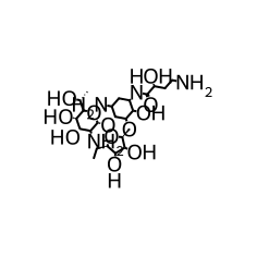 CC[C@H]1O[C@@H](OC2C(O)[C@H](NC(=O)[C@@H](O)CCN)CC(N)[C@H]2O[C@H]2OC([C@@H](C)O)[C@@H](O)C(O)C2N)C(O)C1O